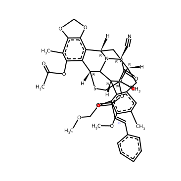 COCOc1c(OC)c(C)cc2c1[C@@H]1C3[C@@H]4SC[C@H](OC(=O)/C=C/c5ccccc5)C(=O)OC[C@@H](c5c6c(c(C)c(OC(C)=O)c54)OCO6)N3[C@@H](C#N)[C@H](C2)N1C